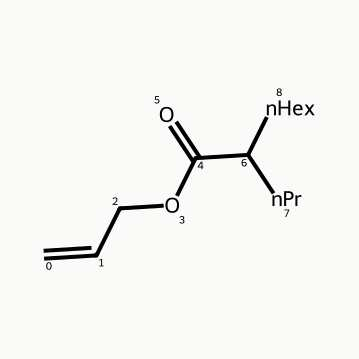 C=CCOC(=O)C(CCC)CCCCCC